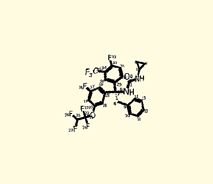 O=C(NC1CC1)N[C@@](Cc1ccccc1)(c1cc(F)cc(OC(F)(F)C(F)F)c1)c1ccc(F)c(C(F)(F)F)c1